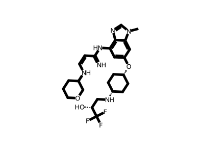 Cn1cnc2c(NC(=N)/C=C\NC3CCCOC3)cc(O[C@H]3CC[C@@H](NC[C@@H](O)C(F)(F)F)CC3)cc21